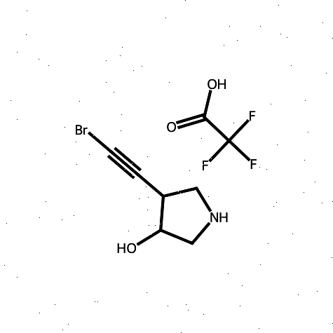 O=C(O)C(F)(F)F.OC1CNCC1C#CBr